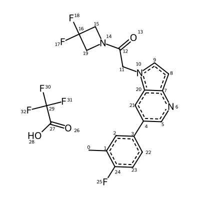 Cc1cc(-c2cnc3ccn(CC(=O)N4CC(F)(F)C4)c3c2)ccc1F.O=C(O)C(F)(F)F